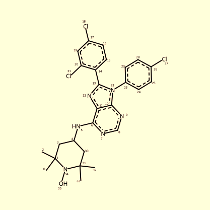 CC1(C)CC(Nc2ncnc3c2nc(-c2ccc(Cl)cc2Cl)n3-c2ccc(Cl)cc2)CC(C)(C)N1O